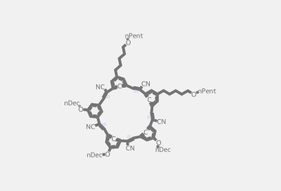 CCCCCCCCCCOc1cc2cc(c1)/C(C#N)=C/c1cc(OCCCCCCCCCC)cc(c1)/C(C#N)=C/c1cc(OCCCCCCCCCC)cc(c1)/C(C#N)=C/c1cc(CCCCCOCCCCC)cc(c1)/C(C#N)=C/c1cc(CCCCCOCCCCC)cc(c1)/C(C#N)=C/2